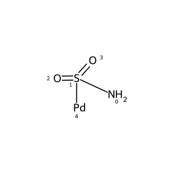 N[S](=O)(=O)[Pd]